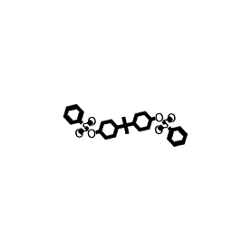 CC(C)(C1CCC(OS(=O)(=O)c2ccccc2)CC1)C1CCC(OS(=O)(=O)c2ccccc2)CC1